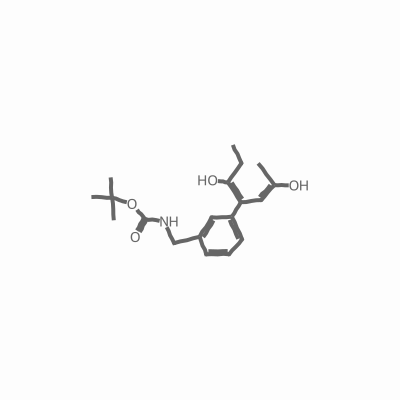 CC/C(O)=C(\C=C(/C)O)c1cccc(CNC(=O)OC(C)(C)C)c1